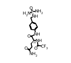 NC(=O)CC[C@H](NC(=O)C(F)(F)F)C(=O)Nc1ccc(CNP(N)(N)=O)cc1